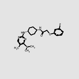 Cc1cnc(N[C@H]2CC[C@@H](NC(=O)COc3cccc(F)c3)CC2)nc1N(C)C